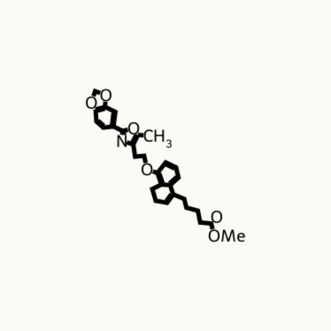 COC(=O)CCCCC1=CCCc2c(OCCc3nc(-c4ccc5c(c4)OCO5)oc3C)cccc21